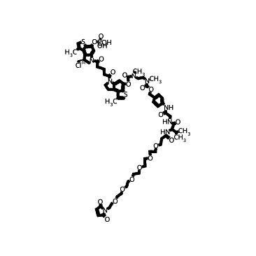 Cc1csc2c(OC(=O)N(C)CCN(C)C(=O)OCc3ccc(NC(=O)CNC(=O)C(NC(=O)CCOCCOCCOCCOCCOCCOCCN4C(=O)C=CC4=O)C(C)C)cc3)cc3c(c12)CCN3C(=O)CCCC(=O)N1C[C@@H](CCl)c2c1cc(OP(=O)(O)O)c1scc(C)c21